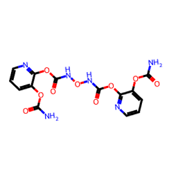 NC(=O)Oc1cccnc1OC(=O)NONC(=O)Oc1ncccc1OC(N)=O